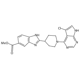 COC(=O)c1ccc2[nH]c(C3CCN(c4ncnc5[nH]cc(Cl)c45)CC3)nc2c1